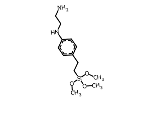 CO[Si](CCc1ccc(NCCN)cc1)(OC)OC